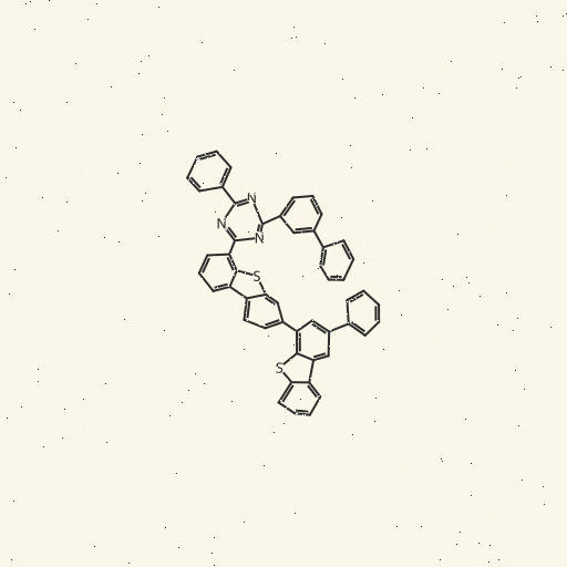 c1ccc(-c2cccc(-c3nc(-c4ccccc4)nc(-c4cccc5c4sc4cc(-c6cc(-c7ccccc7)cc7c6sc6ccccc67)ccc45)n3)c2)cc1